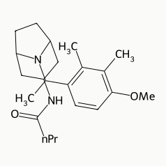 CCCC(=O)NC1CC2CCC(C1)N2C(C)c1ccc(OC)c(C)c1C